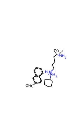 NC1CCCCC1.NCCCC[C@H](N)C(=O)O.O=Cc1ccc2ccccc2c1